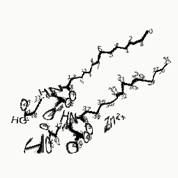 CCCCCCCCCCCCCC(=O)N[C@@H](CCC(=O)O)C(=O)[O-].CCCCCCCCCCCCCC(=O)N[C@@H](CCC(=O)O)C(=O)[O-].[Zn+2]